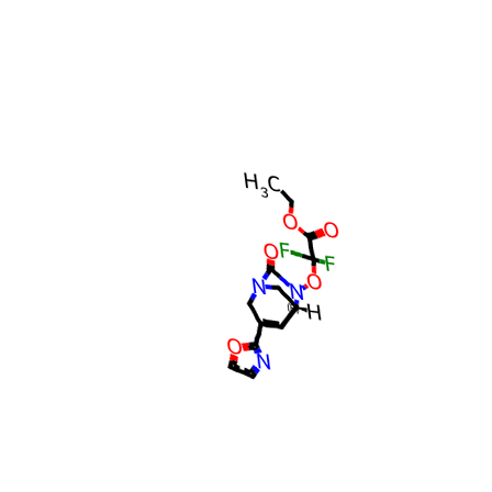 CCOC(=O)C(F)(F)ON1C(=O)N2CC(c3ncco3)=C[C@@H]1C2